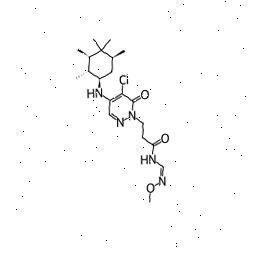 CO/N=C\NC(=O)CCn1ncc(N[C@@H]2C[C@H](C)C(C)(C)[C@H](C)[C@H]2C)c(Cl)c1=O